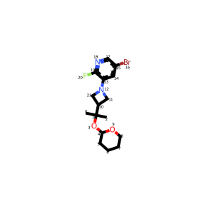 CC(C)(OC1CCCCO1)C1CN(c2cc(Br)cnc2F)C1